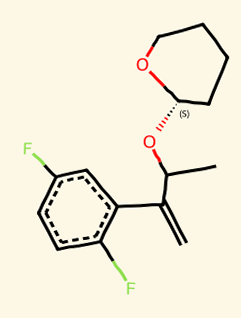 C=C(c1cc(F)ccc1F)C(C)O[C@H]1CCCCO1